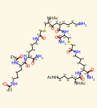 CCC(=O)NCCCCC(NC(=O)CC)C(=O)NC(CCCCNC(=O)CSCC(NC(C)=O)C(=O)CC(CCCCN)C(=O)NC(CSCC(=O)NCCCCC(NC(=O)C(CCCCNC(C)=O)NC(C)=O)C(N)=O)C(N)=O)C(N)=O